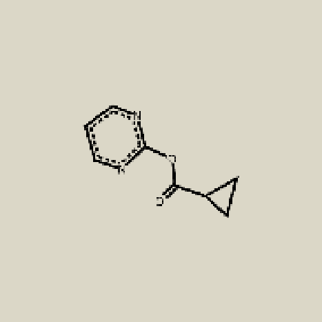 O=C(Oc1ncccn1)C1CC1